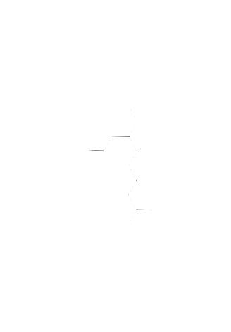 COC(CCO)CCCCC(C)C